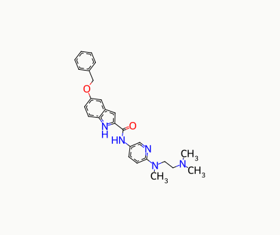 CN(C)CCN(C)c1ccc(NC(=O)c2cc3cc(OCc4ccccc4)ccc3[nH]2)cn1